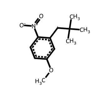 COc1ccc([N+](=O)[O-])c([CH]C(C)(C)C)c1